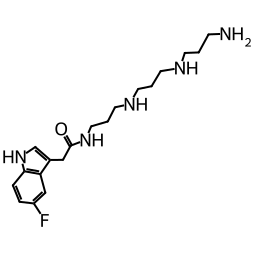 NCCCNCCCNCCCNC(=O)Cc1c[nH]c2ccc(F)cc12